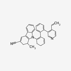 C=Cc1ccncc1-c1ccccc1C1=C(n2c3c(c4ccccc42)C=C(C#N)CC3C)CCC=C1